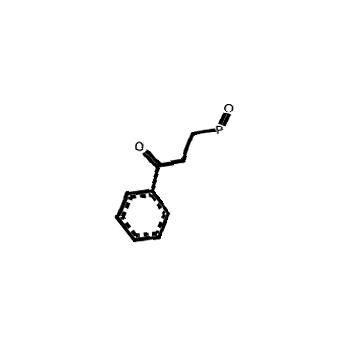 O=PCCC(=O)c1ccccc1